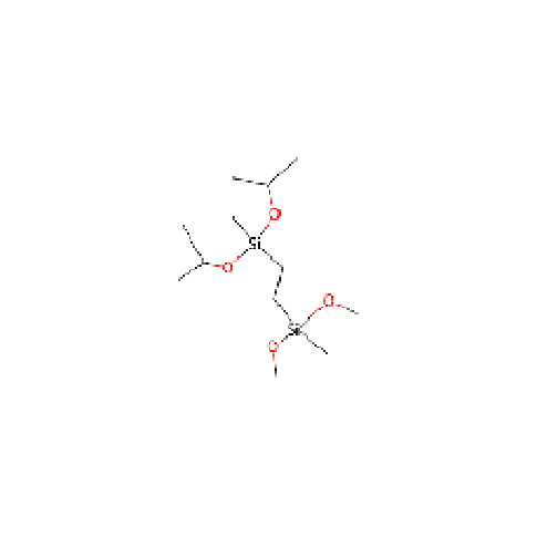 CO[Si](C)(CC[Si](C)(OC(C)C)OC(C)C)OC